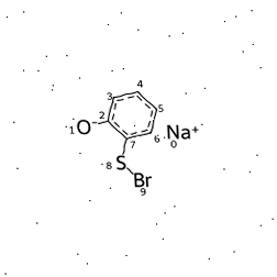 [Na+].[O-]c1ccccc1SBr